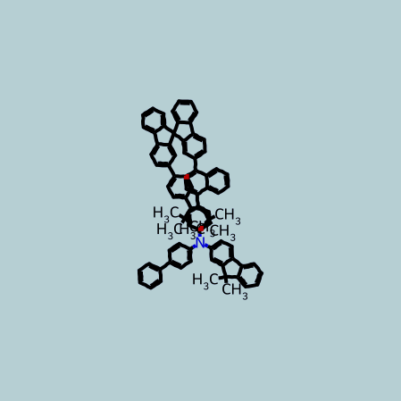 CC(C)(C)CC(c1ccc(-c2ccc3c(c2)C2(c4ccccc4-3)c3ccccc3-c3ccc(-c4ccc(-c5ccc(N(c6ccc(-c7ccccc7)cc6)c6ccc7c(c6)C(C)(C)c6ccccc6-7)cc5)c5ccccc45)cc32)cc1)C(C)(C)C